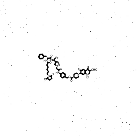 CCN1CC(C=O)C(=O)c2cc(F)c(N3CCN(C(=O)OCc4ccc(NC(=O)Cn5cc(C(NC(=O)[C@@H](Cc6ccccc6)NC(=O)CCCCCN6C(=O)CCC6=O)C(C)C)nn5)cc4)CC3)cc21